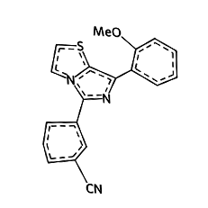 COc1ccccc1-c1nc(-c2cccc(C#N)c2)n2ccsc12